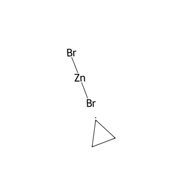 [Br][Zn][Br].[CH]1CC1